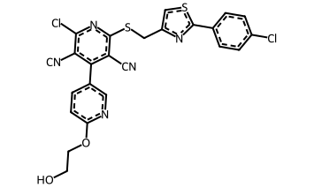 [C-]#[N+]c1c(Cl)nc(SCc2csc(-c3ccc(Cl)cc3)n2)c(C#N)c1-c1ccc(OCCO)nc1